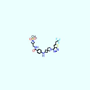 CS(=O)(=O)N1CC(CNC(=O)c2ccc(NC3CC4(CCN(c5ncnc6sc(CC(F)(F)F)cc56)C4)C3)cc2)C1